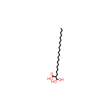 CCCCCCCCCCCCCCCCCCCCC(C(=O)O)C(O)O